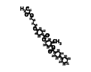 C=CC(=O)OCCCCOc1ccc(C(=O)Oc2ccc(OC(=O)c3ccc(-c4ccccc4)cc3)c(C)c2)cc1